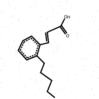 CCCCCc1ccccc1C=CC(=O)O